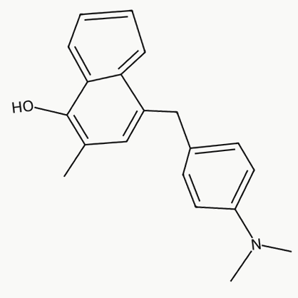 Cc1cc(Cc2ccc(N(C)C)cc2)c2ccccc2c1O